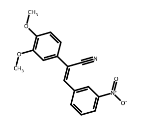 COc1ccc(C(C#N)=Cc2cccc([N+](=O)[O-])c2)cc1OC